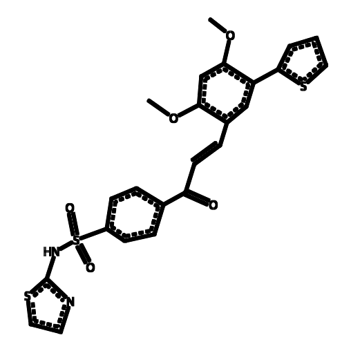 COc1cc(OC)c(-c2cccs2)cc1/C=C/C(=O)c1ccc(S(=O)(=O)Nc2nccs2)cc1